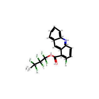 O=C(OC(F)(F)C(F)(F)C(F)(F)C(F)(F)F)c1c(F)ccc2nc3ccccc3cc12